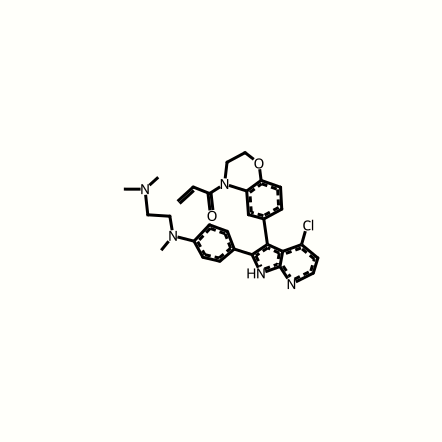 C=CC(=O)N1CCOc2ccc(-c3c(-c4ccc(N(C)CCN(C)C)cc4)[nH]c4nccc(Cl)c34)cc21